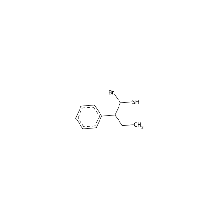 CCC(c1ccccc1)C(S)Br